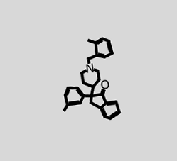 Cc1cccc(C2(C3CCN(Cc4ccccc4C)CC3)Cc3ccccc3C2=O)c1